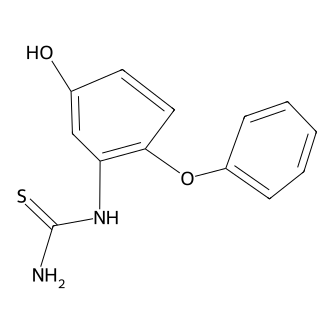 NC(=S)Nc1cc(O)ccc1Oc1ccccc1